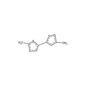 Cc1csc(-c2ccc(C)s2)c1